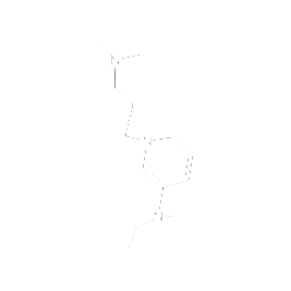 CCNC1=CN(CCCN(C)C)CC=C1